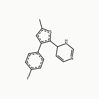 Cc1cc(-c2ccc(F)cc2)c(C2C=CN=CN2)s1